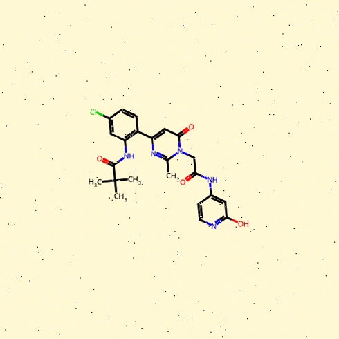 Cc1nc(-c2ccc(Cl)cc2NC(=O)C(C)(C)C)cc(=O)n1CC(=O)Nc1ccnc(O)c1